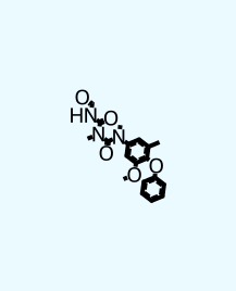 COc1cc(N(C)C(=O)N(C)C(=O)NC=O)cc(C)c1Oc1ccccc1